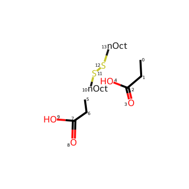 CCC(=O)O.CCC(=O)O.CCCCCCCCSSCCCCCCCC